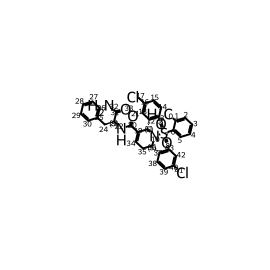 Cc1ccccc1S(=O)(=O)N1[C@@H](c2cccc(Cl)c2)C(C(=O)N[C@@H](Cc2ccccc2)C(N)=O)=CC[C@H]1c1ccc(Cl)cc1